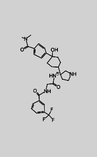 CN(C)C(=O)c1ccc(C2(O)CCC([C@]3(NC(=O)CNC(=O)c4cccc(C(F)(F)F)c4)CCNC3)CC2)cc1